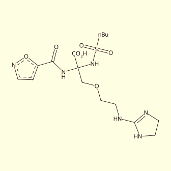 CCCCS(=O)(=O)NC(COCCNC1=NCCN1)(NC(=O)c1ccno1)C(=O)O